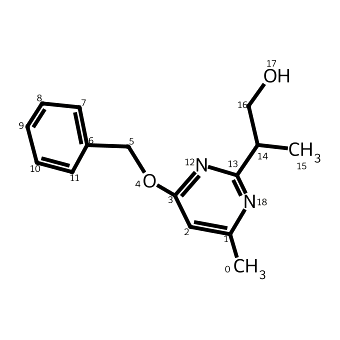 Cc1cc(OCc2ccccc2)nc(C(C)CO)n1